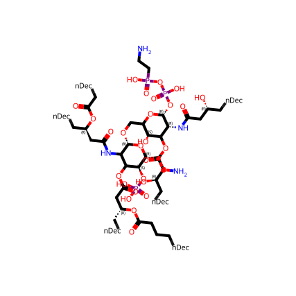 CCCCCCCCCCCCCC(=O)O[C@H](CCCCCCCCCCC)CC(=O)OC1C(NC(=O)C[C@@H](CCCCCCCCCCC)OC(=O)CCCCCCCCCCC)[C@H](OCC2O[C@H](OP(=O)(O)OP(=O)(O)CCN)[C@H](NC(=O)C[C@H](O)CCCCCCCCCCC)C(OC(=O)C[C@H](O)CCCCCCCCCCC)[C@@H]2O)O[C@H](CON)[C@H]1OP(=O)(O)O